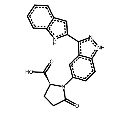 O=C(O)[C@@H]1CCC(=O)N1c1ccc2[nH]nc(-c3cc4ccccc4[nH]3)c2c1